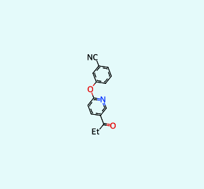 CCC(=O)c1ccc(Oc2cccc(C#N)c2)nc1